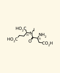 N[C@@H](CC(=O)O)C(=O)N(I)[C@@H](CCC(=O)O)C(=O)O